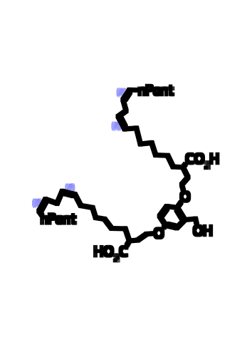 CCCCC/C=C\C/C=C\CCCCCCC(CCOc1ccc(OCCC(CCCCCC/C=C\C/C=C\CCCCC)C(=O)O)c(CO)c1)C(=O)O